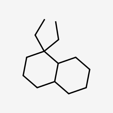 CCC1(CC)CCCC2CCCCC21